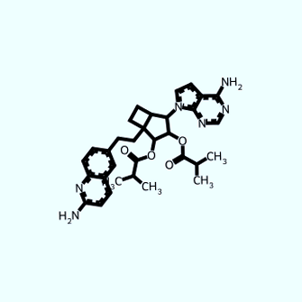 CC(C)C(=O)OC1C(n2ccc3c(N)ncnc32)C2CCC2(CCc2ccc3nc(N)ccc3c2)C1OC(=O)C(C)C